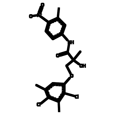 Cc1cc(NC(=O)C(C)(O)COc2cc(C)c(Cl)c(C)c2Cl)ccc1[N+](=O)[O-]